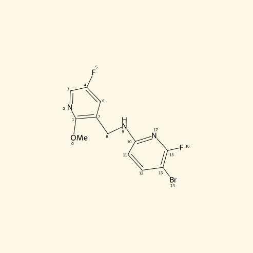 COc1ncc(F)cc1CNc1ccc(Br)c(F)n1